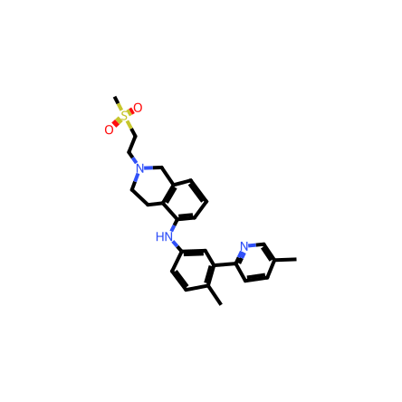 Cc1ccc(-c2cc(Nc3cccc4c3CCN(CCS(C)(=O)=O)C4)ccc2C)nc1